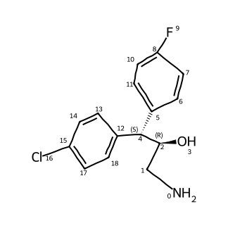 NC[C@H](O)[C@@H](c1ccc(F)cc1)c1ccc(Cl)cc1